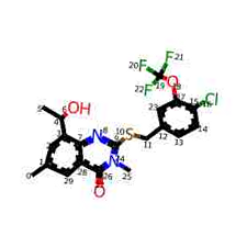 Cc1cc(C(C)O)c2nc(SCc3ccc(Cl)c(OC(F)(F)F)c3)n(C)c(=O)c2c1